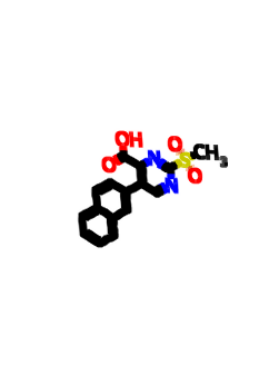 CS(=O)(=O)c1ncc(-c2ccc3ccccc3c2)c(C(=O)O)n1